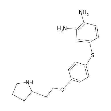 Nc1ccc(Sc2ccc(OCCC3CCCN3)cc2)cc1N